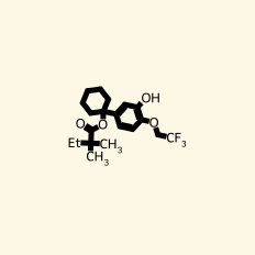 CCC(C)(C)C(=O)OC1(c2ccc(OCC(F)(F)F)c(O)c2)CCCCC1